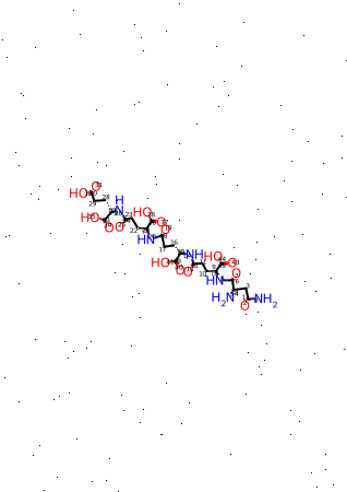 NC(=O)C[C@H](N)C(=O)N[C@@H](CCC(=O)N[C@@H](CCC(=O)N[C@@H](CCC(=O)N[C@@H](CCC(=O)O)C(=O)O)C(=O)O)C(=O)O)C(=O)O